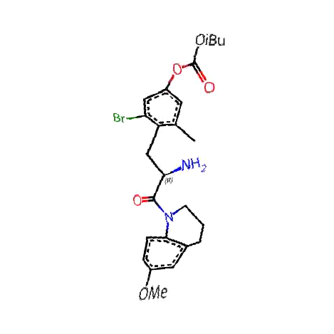 COc1ccc2c(c1)CCCN2C(=O)[C@H](N)Cc1c(C)cc(OC(=O)OCC(C)C)cc1Br